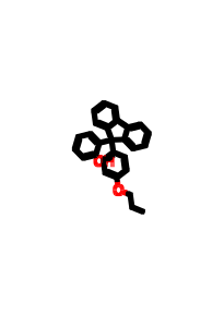 CCCOc1ccc(C2(c3ccccc3O)c3ccccc3-c3ccccc32)cc1